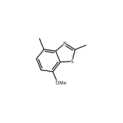 COc1ccc(C)c2nc(C)sc12